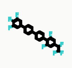 FC(F)=C(F)c1cc(F)c(-c2ccc(-c3ccc(-c4cc(F)c(F)c(F)c4)cc3)cc2)c(F)c1